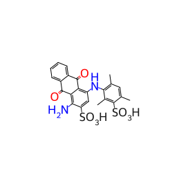 Cc1cc(C)c(S(=O)(=O)O)c(C)c1Nc1cc(S(=O)(=O)O)c(N)c2c1C(=O)c1ccccc1C2=O